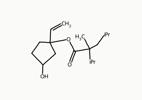 C=CC1(OC(=O)C(C)(CC(C)C)C(C)C)CCC(O)C1